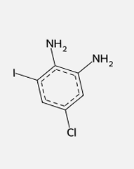 Nc1cc(Cl)cc(I)c1N